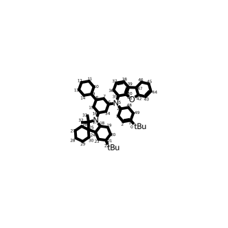 CC(C)(C)C1=CCC(N(C2CC(C3CCCCC3)CC(N3C4CCC(C(C)(C)C)CC4C4(CCCCC4)C3(C)C)C2)C2CC=CC3=C2OC2C=CCCC32)CC1